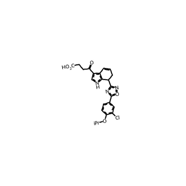 CC(C)Oc1ccc(-c2nc(C3CC=Cc4c(C(=O)CCC(=O)O)c[nH]c43)no2)cc1Cl